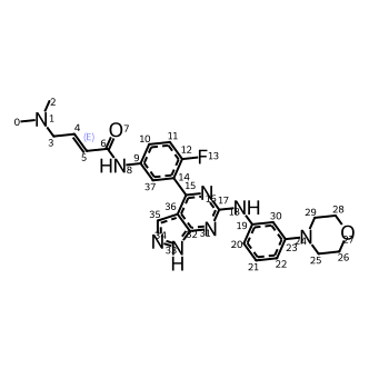 CN(C)C/C=C/C(=O)Nc1ccc(F)c(-c2nc(Nc3cccc(N4CCOCC4)c3)nc3[nH]ncc23)c1